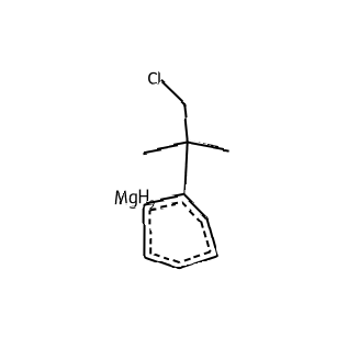 CC(C)(CCl)c1ccccc1.[MgH2]